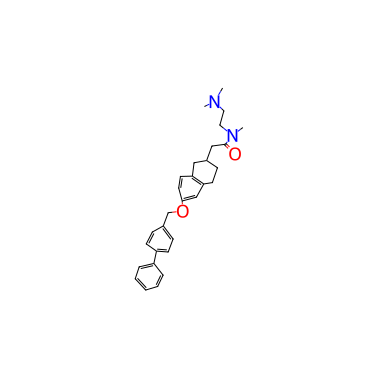 CN(C)CCN(C)C(=O)CC1CCc2cc(OCc3ccc(-c4ccccc4)cc3)ccc2C1